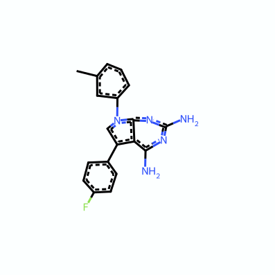 Cc1cccc(-n2cc(-c3ccc(F)cc3)c3c(N)nc(N)nc32)c1